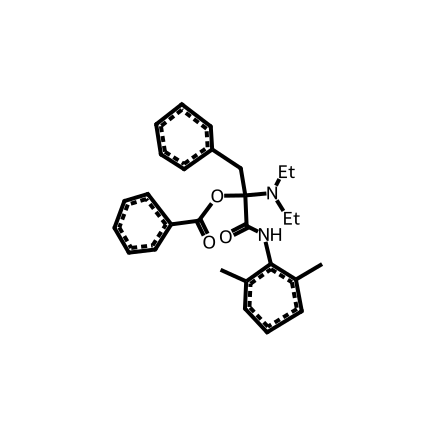 CCN(CC)C(Cc1ccccc1)(OC(=O)c1ccccc1)C(=O)Nc1c(C)cccc1C